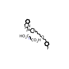 CN(C1=Nc2ccccc2CS1)C1CCN(CCCCOCCc2ccc(F)cc2)CC1.O=C(O)/C=C/C(=O)O